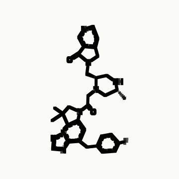 C[C@@H]1CN(CC(=O)N2CC(C)(C)c3c2cc(Cc2ccc(F)cc2)c2ncnn32)[C@@H](CN2Cc3ccncc3C2=O)CN1